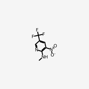 CNc1ncc(C(F)(F)F)cc1[N+](=O)[O-]